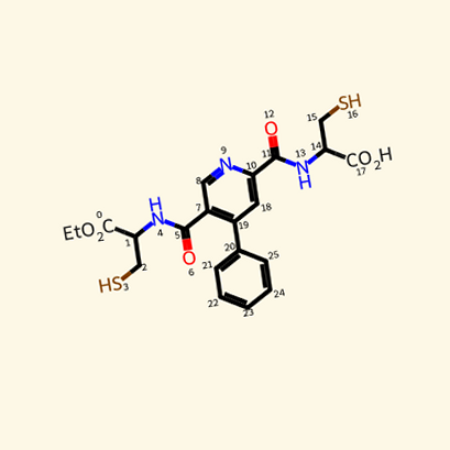 CCOC(=O)C(CS)NC(=O)c1cnc(C(=O)NC(CS)C(=O)O)cc1-c1ccccc1